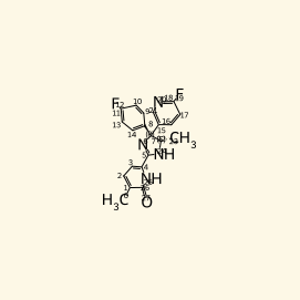 Cc1ccc(C2=N[C@](c3ccc(F)cc3)(c3ccc(F)nc3)[C@H](C)N2)[nH]c1=O